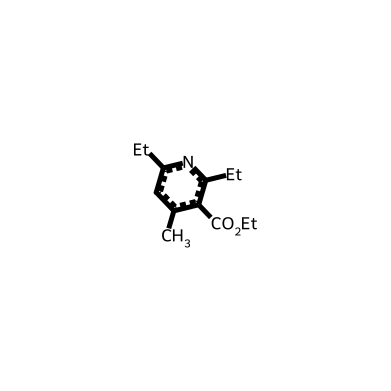 CCOC(=O)c1c(C)cc(CC)nc1CC